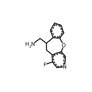 NCC1Cc2c(F)cncc2Oc2ccccc21